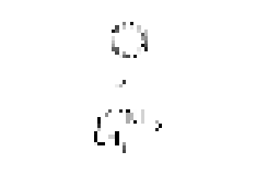 CCC(N)CCc1ccccc1